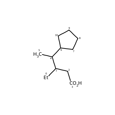 CCC(CC(=O)O)C(C)C1CCCC1